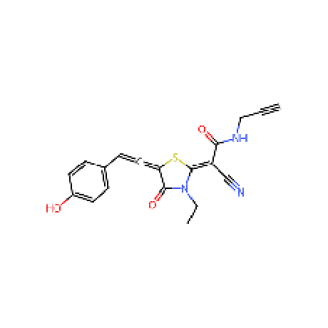 C#CCNC(=O)/C(C#N)=c1\sc(=C=Cc2ccc(O)cc2)c(=O)n1CC